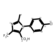 Cc1nc(C(F)(F)F)c(C(=O)O)n1-c1ccc(Cl)cc1